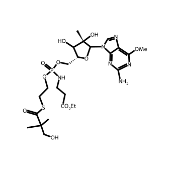 CCOC(=O)CCNP(=O)(OCCSC(=O)C(C)(C)CO)OC[C@H]1OC(n2cnc3c(OC)nc(N)nc32)[C@@](C)(O)C1O